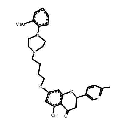 C=C(C)/C=C\C(=C/C)C1CC(=O)c2c(O)cc(OCCCCN3CCN(c4ccccc4OC)CC3)cc2O1